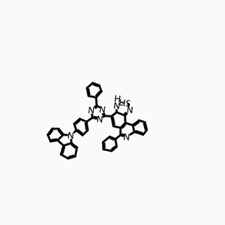 NC1C(c2nc(-c3ccccc3)nc(-c3ccc(-n4c5ccccc5c5ccccc54)cc3)n2)=Cc2c(-c3ccccc3)nc3ccccc3c2/C1=N/S